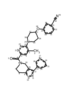 Cc1cc(C(=O)N2CCc3snc(-c4cccnc4)c3C2)nnc1N1CCC(Oc2cccc(C#N)c2)CC1